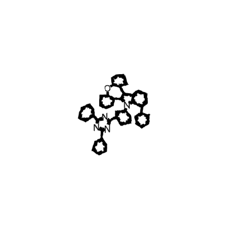 c1ccc(-c2nc(-c3ccccc3)nc(-c3cccc(-n4c5c(c6cccc(-c7ccccc7)c64)-c4ccccc4Oc4ccccc4-5)c3)n2)cc1